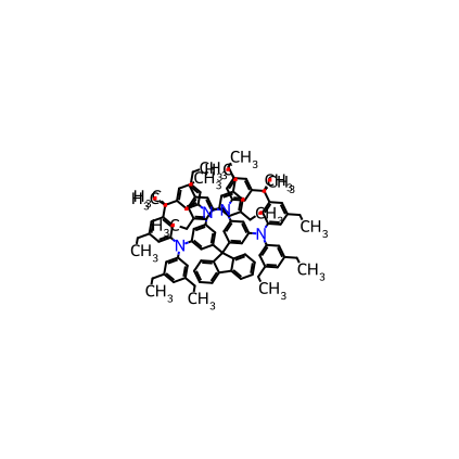 CCc1cc(CC)cc(N(c2cc(CC)cc(CC)c2)c2cc(N(c3cc(CC)cc(CC)c3)c3cc(CC)cc(CC)c3)cc(C3(c4cc(N(c5cc(CC)cc(CC)c5)c5cc(CC)cc(CC)c5)cc(N(c5cc(CC)cc(CC)c5)c5cc(CC)cc(CC)c5)c4)c4ccccc4-c4ccccc43)c2)c1